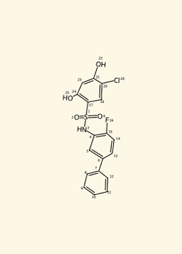 O=S(=O)(Nc1cc(-c2ccccc2)ccc1F)c1cc(Cl)c(O)cc1O